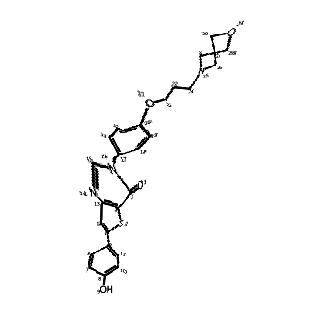 O=c1c2sc(-c3ccc(O)cc3)cc2ncn1-c1ccc(OCCCN2CC3(COC3)C2)cc1